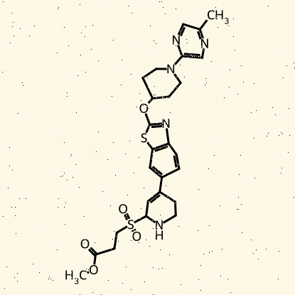 COC(=O)CCS(=O)(=O)C1C=C(c2ccc3nc(OC4CCN(c5cnc(C)cn5)CC4)sc3c2)CCN1